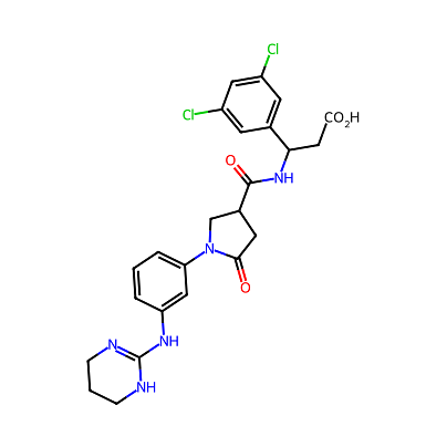 O=C(O)CC(NC(=O)C1CC(=O)N(c2cccc(NC3=NCCCN3)c2)C1)c1cc(Cl)cc(Cl)c1